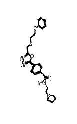 O=C(NCCN1CCCC1)c1ccc(-c2nnc(CSCCOc3ccccc3)o2)cc1